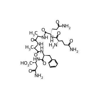 C[C@H](NC(=O)[C@H](C)NC(=O)[C@H](CCC(N)=O)NC(=O)[C@@H](N)CCC(N)=O)C(=O)N[C@@H](Cc1ccccc1)C(=O)N[C@@H](CC(N)=O)C(=O)O